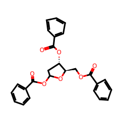 O=C(OC[C@H]1OC(OC(=O)c2ccccc2)C[C@@H]1OC(=O)c1ccccc1)c1ccccc1